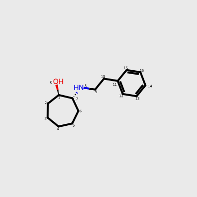 O[C@@H]1CCCCC[C@H]1NCCc1ccccc1